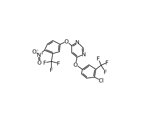 O=[N+]([O-])c1ccc(Oc2cc(Oc3ccc(Cl)c(C(F)(F)F)c3)ncn2)cc1C(F)(F)F